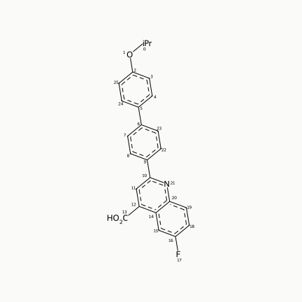 CC(C)Oc1ccc(-c2ccc(-c3cc(C(=O)O)c4cc(F)ccc4n3)cc2)cc1